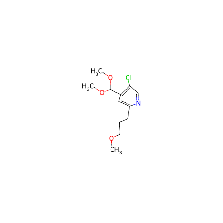 COCCCc1cc(C(OC)OC)c(Cl)cn1